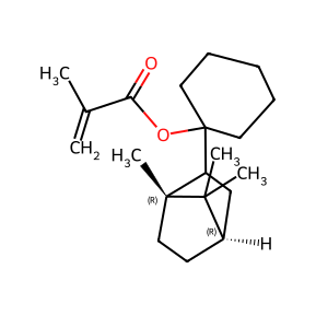 C=C(C)C(=O)OC1(C2C[C@H]3CC[C@@]2(C)C3(C)C)CCCCC1